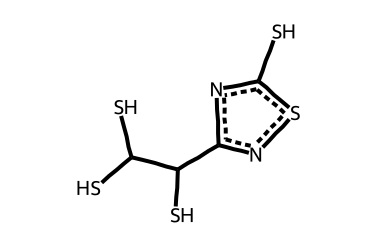 Sc1nc(C(S)C(S)S)ns1